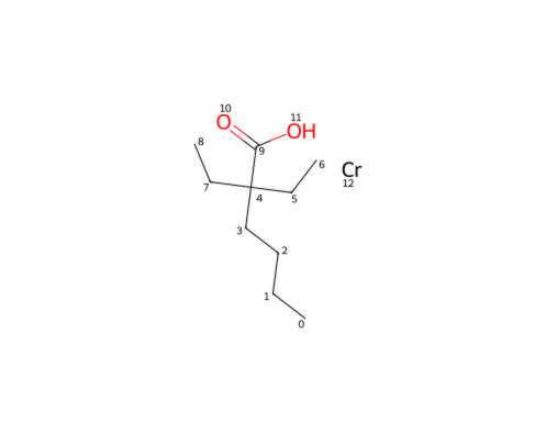 CCCCC(CC)(CC)C(=O)O.[Cr]